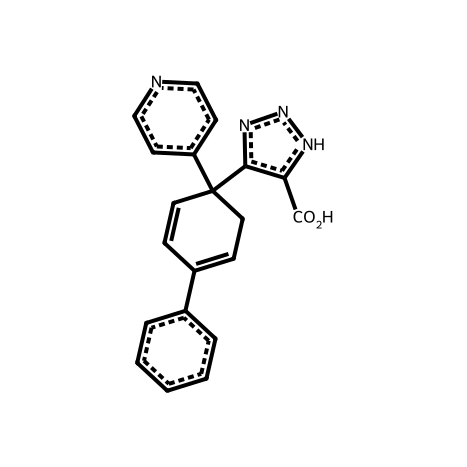 O=C(O)c1[nH]nnc1C1(c2ccncc2)C=CC(c2ccccc2)=CC1